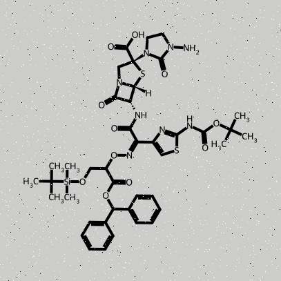 CC(C)(C)OC(=O)Nc1nc(/C(=N/OC(CO[Si](C)(C)C(C)(C)C)C(=O)OC(c2ccccc2)c2ccccc2)C(=O)N[C@@H]2C(=O)N3C[C@@](C(=O)O)(N4CCN(N)C4=O)S[C@H]23)cs1